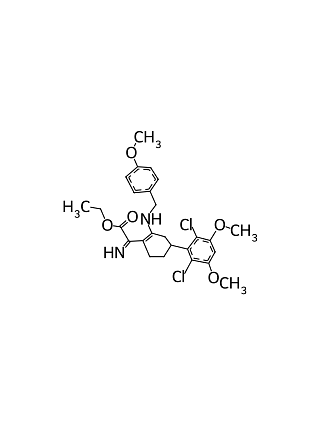 CCOC(=O)C(=N)C1=C(NCc2ccc(OC)cc2)CC(c2c(Cl)c(OC)cc(OC)c2Cl)CC1